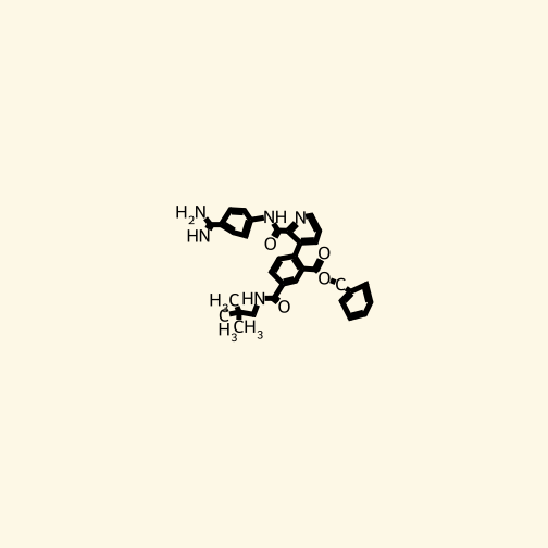 CC(C)(C)CNC(=O)c1ccc(-c2cccnc2C(=O)Nc2ccc(C(=N)N)cc2)c(C(=O)OCc2ccccc2)c1